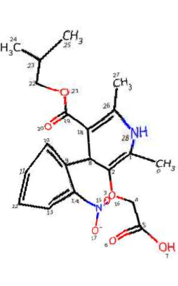 CC1=C(OCC(=O)O)C(c2ccccc2[N+](=O)[O-])C(C(=O)OCC(C)C)=C(C)N1